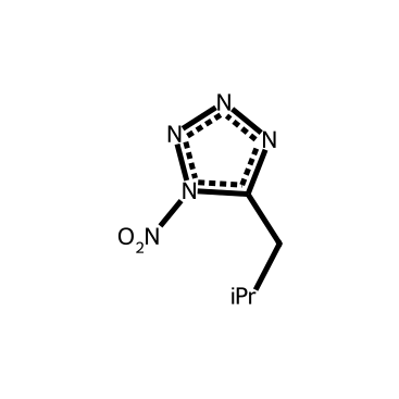 CC(C)Cc1nnnn1[N+](=O)[O-]